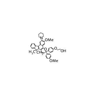 COc1ccc(C2(c3ccc(OCCO)cc3)C=Cc3c4c(c5cc(N6CCCCC6)c(OC)cc5c3O2)-c2ccccc2C4(C)C)cc1